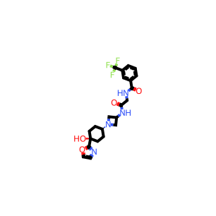 O=C(CNC(=O)c1cccc(C(F)(F)F)c1)NC1CN([C@H]2CC[C@@](O)(c3ncco3)CC2)C1